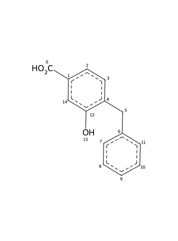 O=C(O)c1ccc(Cc2ccccc2)c(O)c1